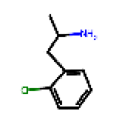 CC(N)[CH]c1ccccc1Cl